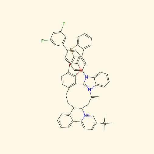 C=C1CC2C(CCc3ccc4c(oc5ccc(-c6cc(F)cc(F)c6)cc54)c3-c3n(-c4ccc5sc6ccccc6c5c4)c4ccccc4[n+]31)c1ccccc1-c1ccc([Si](C)(C)C)c[n+]12